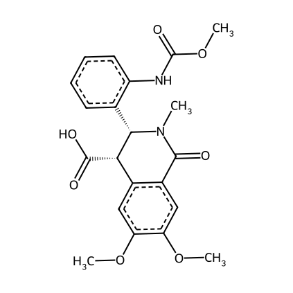 COC(=O)Nc1ccccc1[C@H]1[C@@H](C(=O)O)c2cc(OC)c(OC)cc2C(=O)N1C